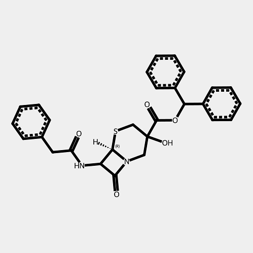 O=C(Cc1ccccc1)NC1C(=O)N2CC(O)(C(=O)OC(c3ccccc3)c3ccccc3)CS[C@H]12